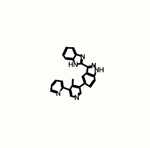 Cc1c(-c2ccc3[nH]nc(-c4nc5ccccc5[nH]4)c3c2)cncc1-c1ccccn1